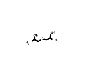 CC(O)[CH]OCC(C)O